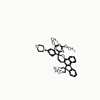 CCC1(CC)c2ccccc2-c2c1c1c(c3ccccc23)OC(c2ccc(N3CCOCC3)cc2)(c2nc(OC)nc(OC)n2)C=C1